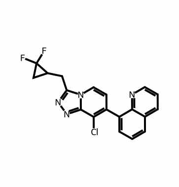 FC1(F)CC1Cc1nnc2c(Cl)c(-c3cccc4cccnc34)ccn12